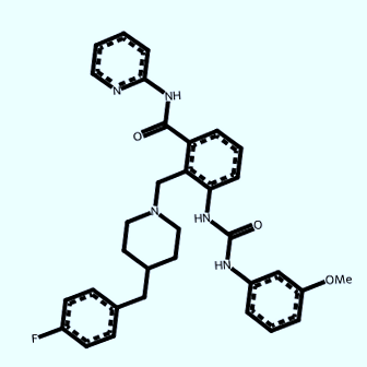 COc1cccc(NC(=O)Nc2cccc(C(=O)Nc3ccccn3)c2CN2CCC(Cc3ccc(F)cc3)CC2)c1